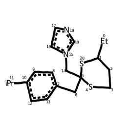 CCC1CCSC(Cc2ccc(C(C)C)cc2)(Cn2ccnc2)S1